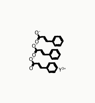 O=C([O-])/C=C/c1ccccc1.O=C([O-])/C=C/c1ccccc1.O=C([O-])/C=C/c1ccccc1.[Y+3]